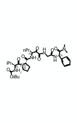 CCC[C@H](NC(=O)[C@@H]1CC[C@H](C)N1C(=O)[C@@H](NC(=O)OCC(C)C)C(C)C)C(=O)C(=O)NCC(=O)N[C@H](C(=O)N(C)C)c1ccccc1